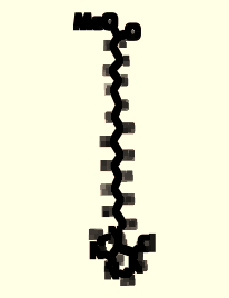 COC(=O)CCCCCCCCCCCCCCCCn1cnc2ncnc(Cl)c21